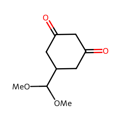 COC(OC)C1CC(=O)CC(=O)C1